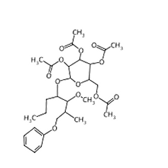 CCCC(OC1OC(COC(C)=O)C(OC(C)=O)C(OC(C)=O)C1OC(C)=O)C(OC)C(C)COc1ccccc1